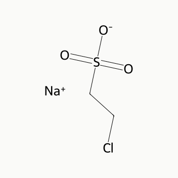 O=S(=O)([O-])CCCl.[Na+]